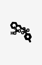 Cc1ccc(S(=O)(=O)OCCC2CCCCN2C(=O)O)cc1